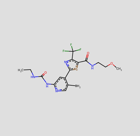 Bc1cnc(NC(=O)NCC)cc1-c1nc(C(F)(F)F)c(C(=O)NCCOC)s1